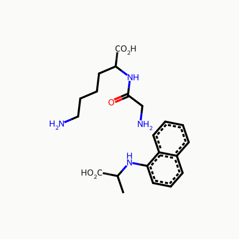 CC(Nc1cccc2ccccc12)C(=O)O.NCCCCC(NC(=O)CN)C(=O)O